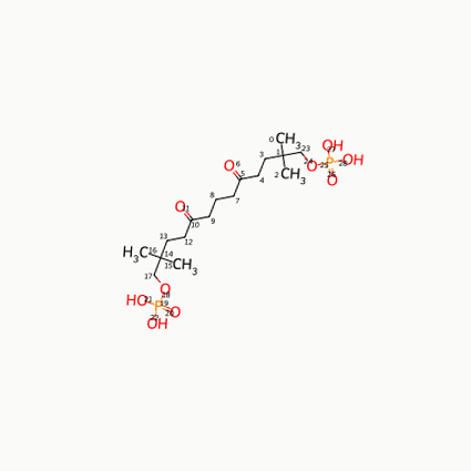 CC(C)(CCC(=O)CCCC(=O)CCC(C)(C)COP(=O)(O)O)COP(=O)(O)O